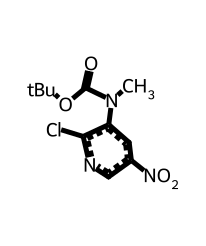 CN(C(=O)OC(C)(C)C)c1cc([N+](=O)[O-])cnc1Cl